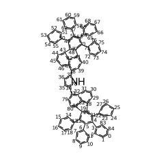 c1ccc(-c2c(-c3ccccc3)c(-c3ccccc3)c3c(c2-c2ccccc2)-c2cccc4c(-c5ccc(-c6ccc7c8c(cccc68)-c6c(-c8ccccc8)c(-c8ccccc8)c(-c8ccccc8)c(-c8ccccc8)c6-7)[nH]5)ccc-3c24)cc1